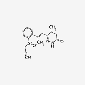 C#CC[S+]([O-])c1ccccc1C(C)=CC1=NNC(=O)CC1C